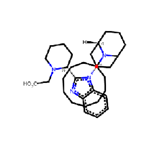 O=C(O)CN1CCCC[C@@H]1c1nc2ccccc2n1[C@H]1CC2CCC[C@@H](C1)N2C1CCCCCCCCC1